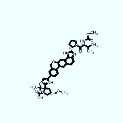 COC[C@@H]1CN(C(=O)O)[C@@](c2ncc(-c3ccc4c(c3)COc3cc5c(ccc6nc([C@@H]7CCCN7C(=O)[C@@H](NC(=O)OC)C(C)C)[nH]c65)cc3-4)[nH]2)(C(C)(C)C)C1